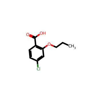 CCCOc1cc(Cl)ccc1C(=O)O